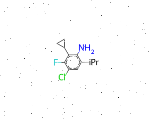 CC(C)c1cc(Cl)c(F)c(C2CC2)c1N